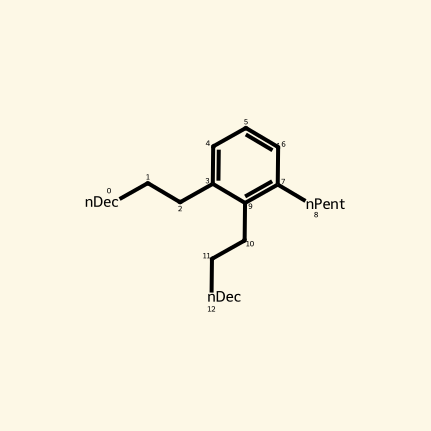 CCCCCCCCCCCCc1cc[c]c(CCCCC)c1CCCCCCCCCCCC